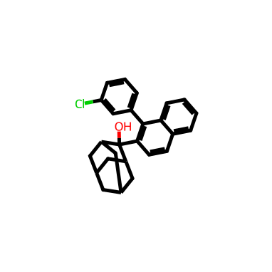 OC1(c2ccc3ccccc3c2-c2cccc(Cl)c2)C2CC3CC(C2)CC1C3